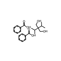 CC(C)C(CO)(CO)C(C)C.O=C(O)c1ccccc1.O=C(O)c1ccccc1